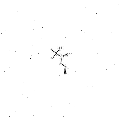 C=C[CH2][Co](=[O])[C](C)(C)CC